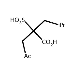 CC(=O)CC(CC(C)C)(C(=O)O)S(=O)(=O)O